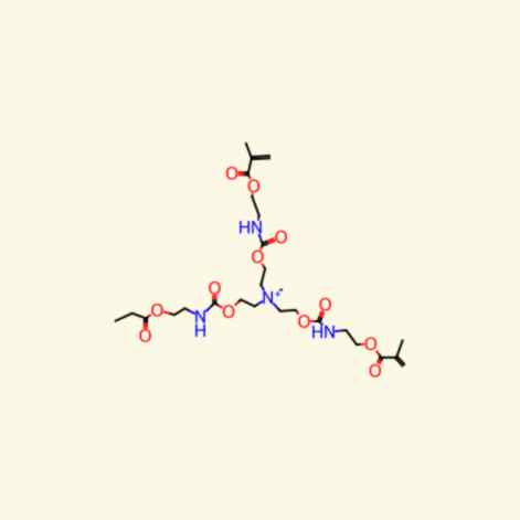 C=C(C)C(=O)OCCNC(=O)OCC[N+](C)(CCOC(=O)NCCOC(=O)CC)CCOC(=O)NCCOC(=O)C(=C)C